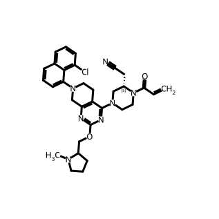 C=CC(=O)N1CCN(c2nc(OCC3CCCN3C)nc3c2CCN(c2cccc4cccc(Cl)c24)C3)C[C@@H]1CC#N